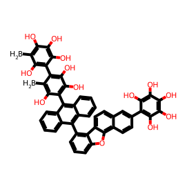 Bc1c(O)c(O)c(O)c(-c2c(B)c(O)c(-c3c4ccccc4c(-c4cccc5oc6c7ccc(-c8c(O)c(O)c(O)c(O)c8O)cc7ccc6c45)c4ccccc34)c(O)c2O)c1O